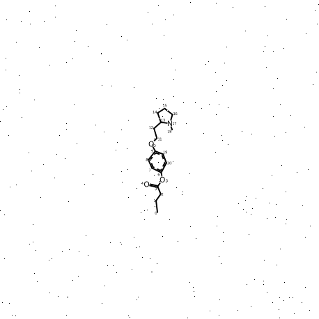 CCCC(=O)Oc1ccc(OCCC2CCCN2C)cc1